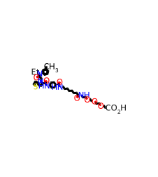 CCN(C(=O)Cn1c(C(=O)N[C@H]2CC[C@H](C(=O)NCCCCCCCC(=O)NCCOCCOCCOCCC(=O)O)CC2)cc2sccc21)c1cccc(C)c1